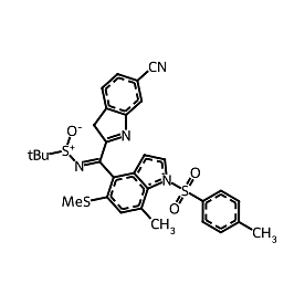 CSc1cc(C)c2c(ccn2S(=O)(=O)c2ccc(C)cc2)c1C(=N[S+]([O-])C(C)(C)C)C1=Nc2cc(C#N)ccc2C1